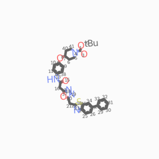 CC(C)(C)OC(=O)N1CCC(Oc2ccc(NC(=O)Cc3nnc(Cc4nc5ccc(-c6ccccc6)cc5s4)o3)cc2)CC1